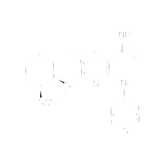 CN[C@H]1CCCC[C@H]1Nc1nc(Nc2ccncc2)c(C(N)=O)cc1F